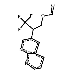 O=COCC(c1cnc2ncccc2c1)C(F)(F)F